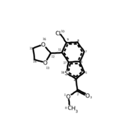 COC(=O)c1cc2ccc(Cl)c(C3OCCO3)c2s1